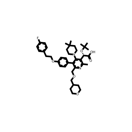 Cc1nc(COCC2CCOCC2)c(-c2ccc(OCCc3ccc(F)cc3)cc2)c(N2CCC(C)(C)CC2)c1[C@H](OC(C)(C)C)C(=O)O